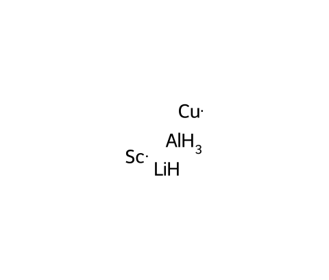 [AlH3].[Cu].[LiH].[Sc]